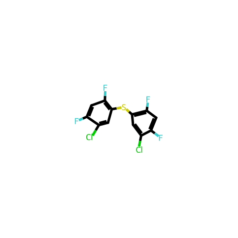 Fc1cc(F)c(Sc2cc(Cl)c(F)cc2F)cc1Cl